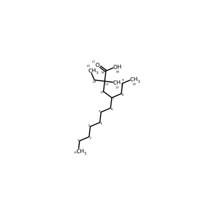 CCCCCCCC(CCC)CC(C)(CC)C(=O)O